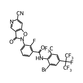 N#Cc1cc2on(-c3cccc(C(=O)Nc4c(Br)cc(C(F)(C(F)(F)F)C(F)(F)F)cc4C(F)(F)F)c3F)c(=O)c2cn1